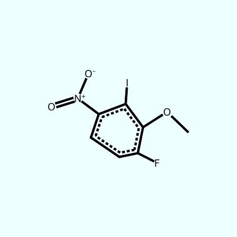 COc1c(F)ccc([N+](=O)[O-])c1I